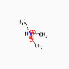 CCCCCCCCCCCCN[C@@H](CCC(=O)OC(=O)CCCCCCC)C(=O)OC(=O)CCCCCCC